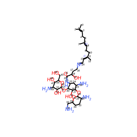 CC(C)=CCC/C(C)=C/CC/C(C)=C/C=N/CCC(O)C(=O)NC1CC(N)C(OC2OC(CN)CCC2N)C(O)C1OC1OC(CO)C(O)C(N)C1O